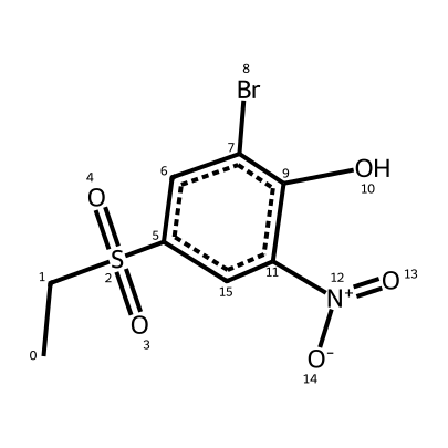 CCS(=O)(=O)c1cc(Br)c(O)c([N+](=O)[O-])c1